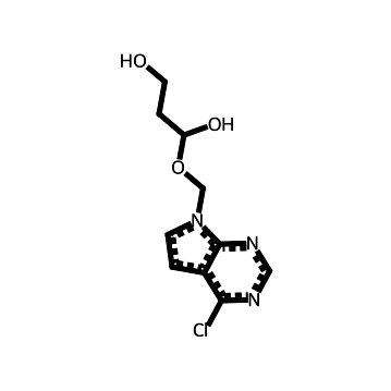 OCCC(O)OCn1ccc2c(Cl)ncnc21